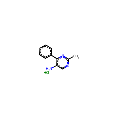 Cc1ncc(N)c(-c2ccccc2)n1.Cl